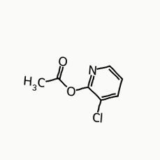 CC(=O)Oc1ncccc1Cl